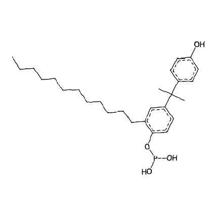 CCCCCCCCCCCCc1cc(C(C)(C)c2ccc(O)cc2)ccc1OP(O)O